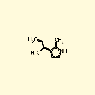 C=C/C(C)=c1/cc[nH]c1=C